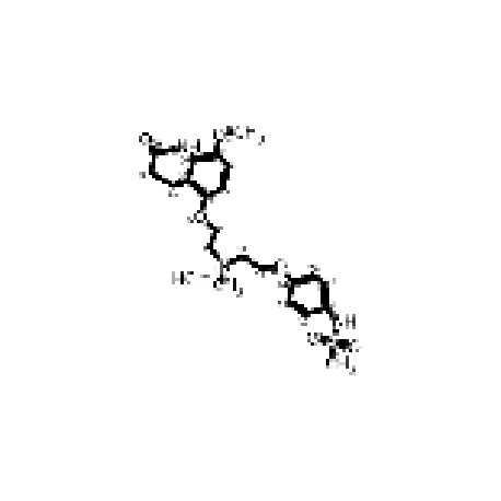 COc1ccc(OCCN(C)CCOc2ccc(NS(C)(=O)=O)cc2)c2c1NC(=O)CC2.Cl